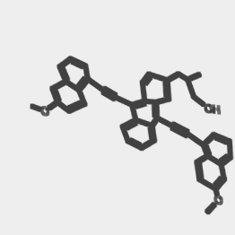 COc1ccc2c(C#Cc3c4ccccc4c(C#Cc4cccc5cc(OC)ccc45)c4cc(CC(C)CO)ccc34)cccc2c1